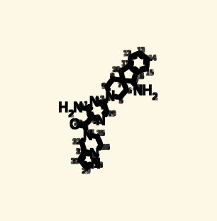 Nc1nc(N2CCC3(CC2)Cc2ccccc2C3N)cnc1C(=O)N1CCn2nccc2C1